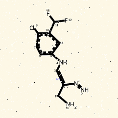 N=N/C(=C\Nc1ccc(Cl)c(C(F)F)c1)CN